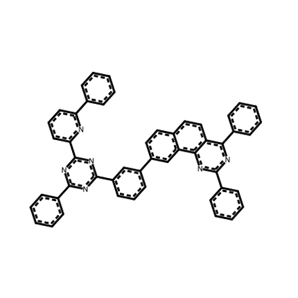 c1ccc(-c2cccc(-c3nc(-c4ccccc4)nc(-c4cccc(-c5ccc6ccc7c(-c8ccccc8)nc(-c8ccccc8)nc7c6c5)c4)n3)n2)cc1